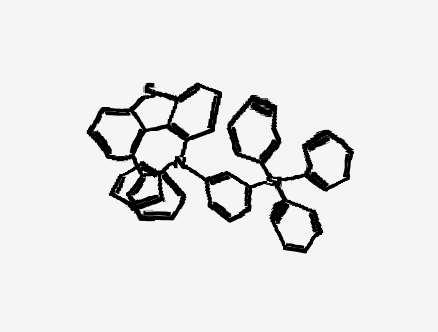 c1ccc(-c2cccc3sc4cccc(N(c5ccccc5)c5cccc([Si](c6ccccc6)(c6ccccc6)c6ccccc6)c5)c4c23)cc1